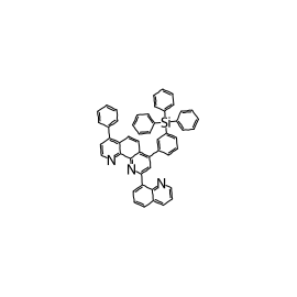 c1ccc(-c2ccnc3c2ccc2c(-c4cccc([Si](c5ccccc5)(c5ccccc5)c5ccccc5)c4)cc(-c4cccc5cccnc45)nc23)cc1